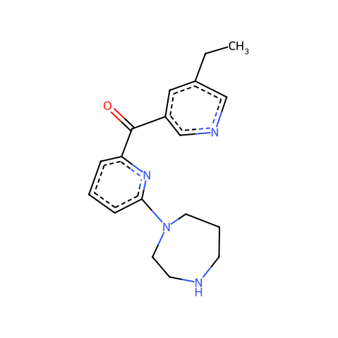 CCc1cncc(C(=O)c2cccc(N3CCCNCC3)n2)c1